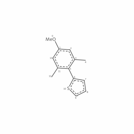 COc1cc(C)c(-c2cc[c]s2)c(C)c1